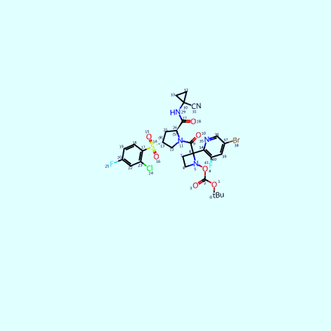 CC(C)(C)OC(=O)ON1CCC1(C(=O)N1C[C@H](S(=O)(=O)c2ccc(F)cc2Cl)C[C@H]1C(=O)NC1(C#N)CC1)c1ncc(Br)cc1F